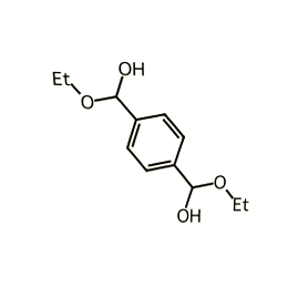 CCOC(O)c1ccc(C(O)OCC)cc1